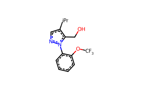 CC(C)c1cnn(-c2ccccc2OC(F)(F)F)c1CO